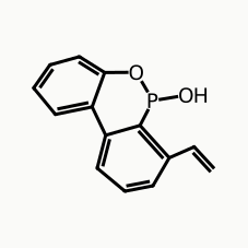 C=Cc1cccc2c1P(O)Oc1ccccc1-2